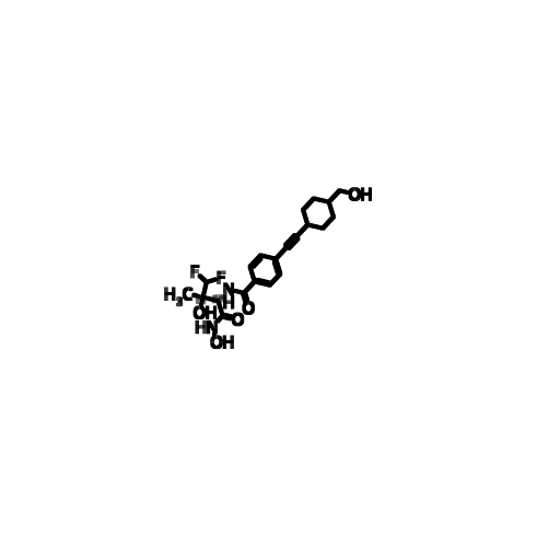 C[C@@](O)(C(F)F)[C@H](NC(=O)c1ccc(C#CC2CCC(CO)CC2)cc1)C(=O)NO